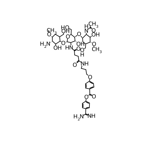 CO[C@@H]1C(CO)C[C@@H](O[C@@H]2C(CO)O[C@@H](O[C@@H]3C(CO)C[C@@H](OC)[C@@H](N)C3O)C(NC(=O)CCC(=O)NCCCOc3ccc(C(=O)Oc4ccc(C(=N)N)cc4)cc3)[C@H]2O)[C@@H](NC(C)=O)C1O